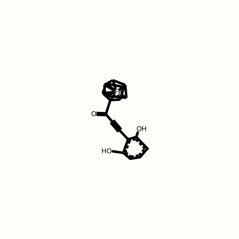 O=C(C#Cc1c(O)cccc1O)[C]12[CH]3[CH]4[CH]5[CH]1[Fe]45321678[CH]2[CH]1[CH]6[CH]7[CH]28